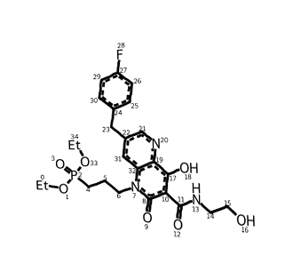 CCOP(=O)(CCCn1c(=O)c(C(=O)NCCO)c(O)c2ncc(Cc3ccc(F)cc3)cc21)OCC